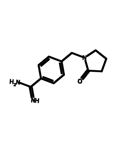 N=C(N)c1ccc(CN2CCCC2=O)cc1